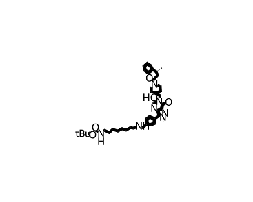 C[C@H](CC(=O)N1CCC(O)(Cn2cnc3c(-c4ccc(CNCCCCCCCCNC(=O)OC(C)(C)C)cc4)n(C)nc3c2=O)CC1)c1ccccc1